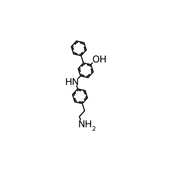 NCCc1ccc(Nc2ccc(O)c(-c3ccccc3)c2)cc1